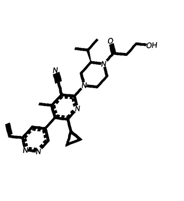 C=Cc1cc(-c2c(C3CC3)nc(N3CCN(C(=O)CCO)[C@H](C(C)C)C3)c(C#N)c2C)cnn1